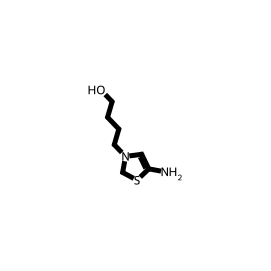 NC1=CN(CCCCO)CS1